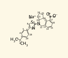 CC(C)c1ccc(-c2csc(N(Cc3cccc(C(=O)[O-])c3)C3CCCC3)n2)cc1.[Na+]